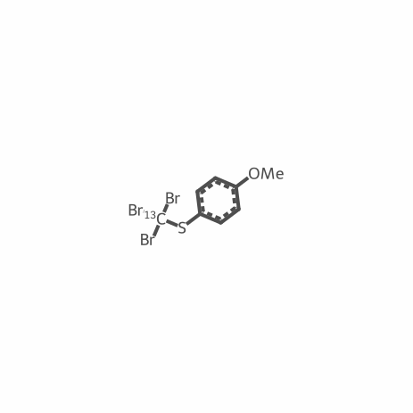 COc1ccc(S[13C](Br)(Br)Br)cc1